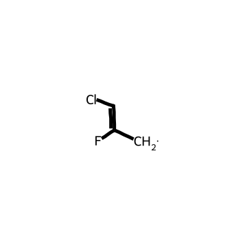 [CH2]C(F)=CCl